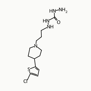 NNC(=O)NNCCCN1CCC(c2ccc(Cl)s2)CC1